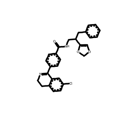 O=C(NCC(Cc1ccccc1)C1=COCO1)c1ccc(C2=NCCc3ccc(Cl)cc32)cc1